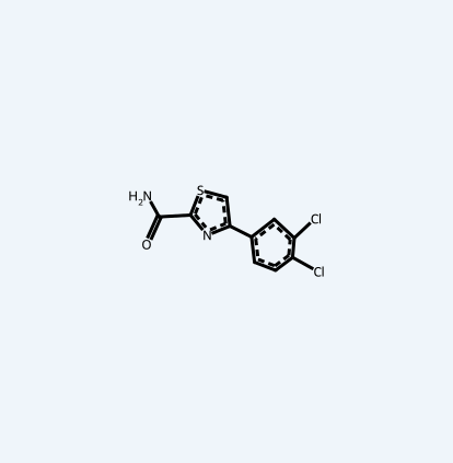 NC(=O)c1nc(-c2ccc(Cl)c(Cl)c2)cs1